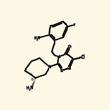 Nc1ccc(F)cc1Cn1c(N2CCC[C@@H](N)C2)ncc(Cl)c1=O